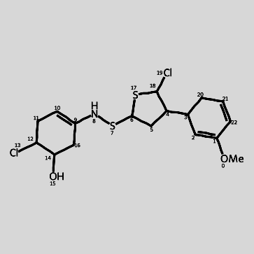 COC1=CC(C2CC(SNC3=CCC(Cl)C(O)C3)SC2Cl)CC=C1